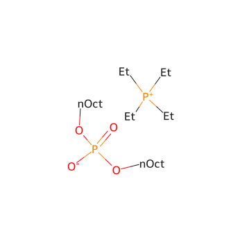 CCCCCCCCOP(=O)([O-])OCCCCCCCC.CC[P+](CC)(CC)CC